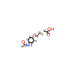 CC(=O)Nc1ccc(OCCSCC(=O)O)cc1